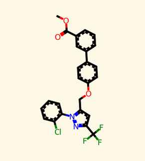 COC(=O)c1cccc(-c2ccc(OCc3cc(C(F)(F)F)nn3-c3ccccc3Cl)cc2)c1